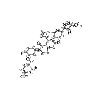 O=C1CN(Cc2nc3cc(-c4nnc(C(F)(F)F)[nH]4)ncc3n2C[C@@H]2CCO2)CCN1c1ccc(F)c(OCc2ccc(Cl)cc2F)c1